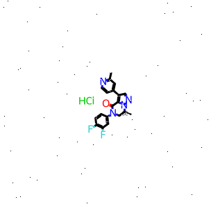 Cc1cc(-c2cnn3c2C(=O)N(c2ccc(F)c(F)c2)C[C@@H]3C)ccn1.Cl